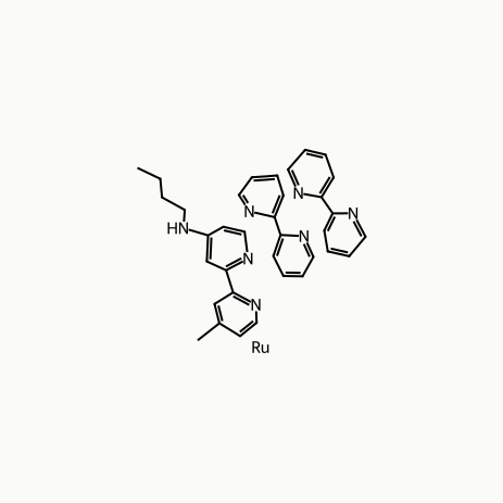 CCCCNc1ccnc(-c2cc(C)ccn2)c1.[Ru].c1ccc(-c2ccccn2)nc1.c1ccc(-c2ccccn2)nc1